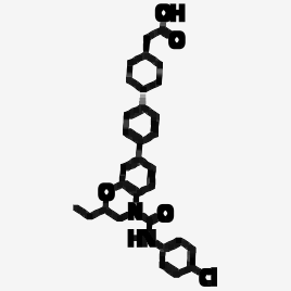 CCC1CN(C(=O)Nc2ccc(Cl)cc2)c2ccc(-c3ccc([C@H]4CC[C@H](CC(=O)O)CC4)cc3)cc2O1